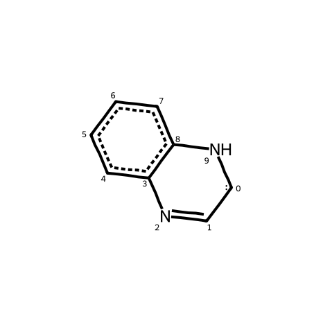 [C]1C=Nc2ccccc2N1